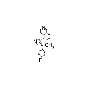 C[C@H](c1ccc(F)cc1)n1cncc1-c1cccc2cnccc12